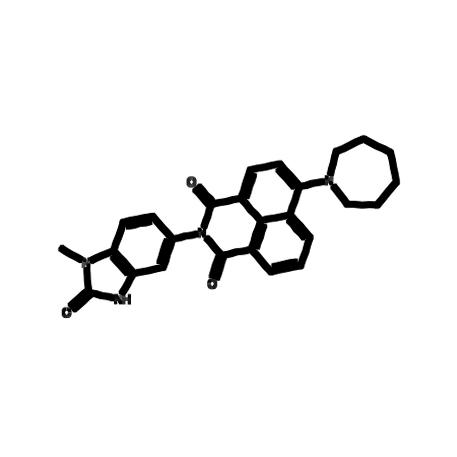 Cn1c(=O)[nH]c2cc(N3C(=O)c4cccc5c(N6CCCCCC6)ccc(c45)C3=O)ccc21